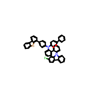 Fc1ccc2c3ccccc3n(-c3ccccc3-c3ccccc3N(c3ccc(-c4ccccc4)cc3)c3ccc(-c4cccc5c4sc4ccccc45)cc3)c2c1